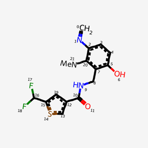 C=Nc1ccc(O)c(CNC(=O)c2csc(C(F)F)c2)c1NC